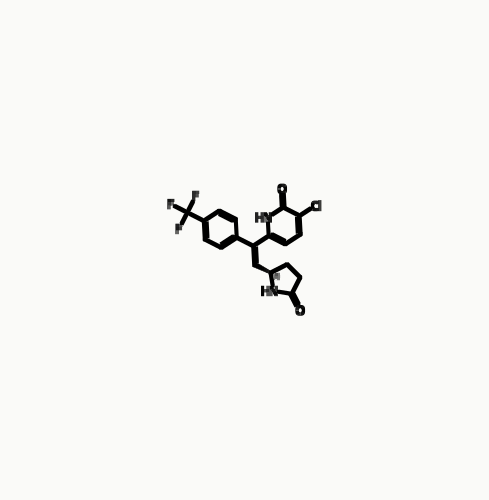 O=C1CC[C@H](C=C(c2ccc(C(F)(F)F)cc2)c2ccc(Cl)c(=O)[nH]2)N1